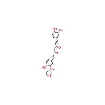 C1CCOC1.COc1cc(/C=C/C(=O)CC(=O)/C=C/c2ccc(O)c(OC)c2)ccc1O